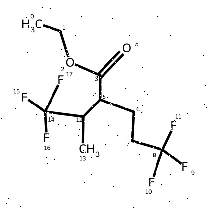 CCOC(=O)C(CCC(F)(F)F)C(C)C(F)(F)F